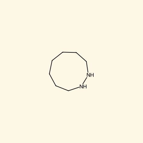 C1CCCNNCCC1